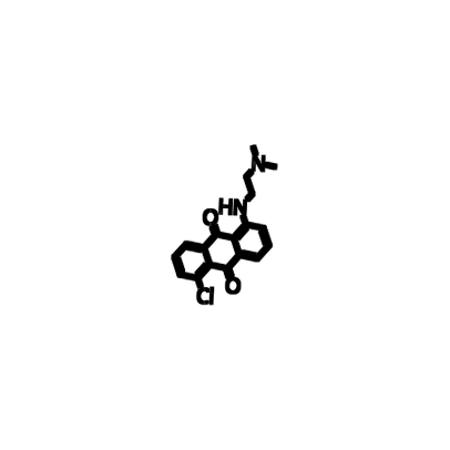 CN(C)CCNc1cccc2c1C(=O)c1cccc(Cl)c1C2=O